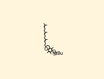 CC(C)=CCC/C(C)=C/CC/C(C)=C/CC[C@@]1(C)CCc2c(C)c(O[Si](C)(C)C(C)(C)C)c(C)c(C)c2O1